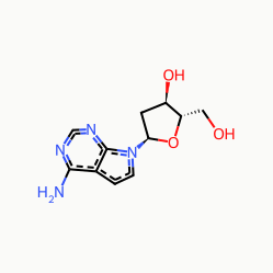 Nc1ncnc2c1ccn2[C@H]1C[C@@H](O)[C@H](CO)O1